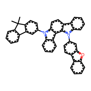 CC1(C)c2ccccc2-c2cc(-n3c4ccccc4c4c3ccc3c5ccccc5n(-c5ccc6c(c5)oc5ccccc56)c34)ccc21